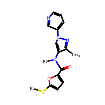 CCSc1ccc(C(=O)N(CC)c2cn(-c3cccnc3)nc2C)o1